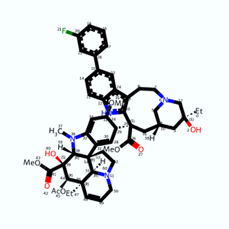 CC[C@]1(O)C[C@H]2CN(CCc3c([nH]c4ccc(-c5cccc(F)c5)cc34)[C@@](C(=O)OC)(C3C=C4C(=CC3OC)N(C)[C@H]3[C@@](O)(C(=O)OC)[C@H](OC(C)=O)[C@]5(CC)C=CCN6CC[C@]43[C@@H]65)C2)C1